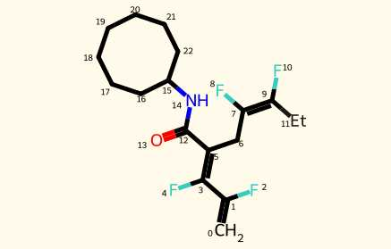 C=C(F)/C(F)=C(\C/C(F)=C(/F)CC)C(=O)NC1CCCCCCC1